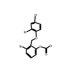 CCC(=O)Oc1cccc(Br)c1COc1ccc(CC)cc1Br